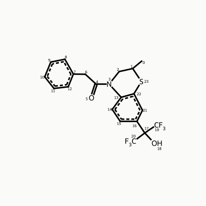 CC1CN(C(=O)Cc2ccccc2)c2ccc(C(O)(C(F)(F)F)C(F)(F)F)cc2S1